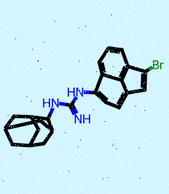 N=C(Nc1ccc2c3c(cccc13)C(Br)=C2)NC1C2CC3CC(C2)CC1C3